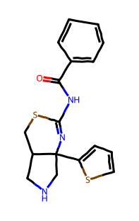 O=C(NC1=NC2(c3cccs3)CNCC2CS1)c1ccccc1